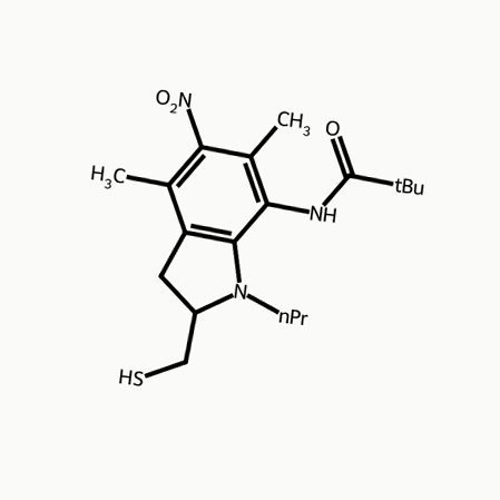 CCCN1c2c(c(C)c([N+](=O)[O-])c(C)c2NC(=O)C(C)(C)C)CC1CS